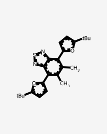 Cc1c(C)c(-c2ccc(C(C)(C)C)o2)c2nsnc2c1-c1ccc(C(C)(C)C)o1